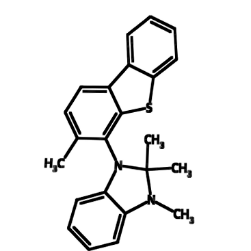 Cc1ccc2c(sc3ccccc32)c1N1c2ccccc2N(C)C1(C)C